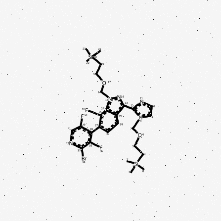 C[Si](C)(C)CCOCn1ccnc1-c1nn(COCC[Si](C)(C)C)c2c(F)c(-c3c(F)cnc(Br)c3F)ccc12